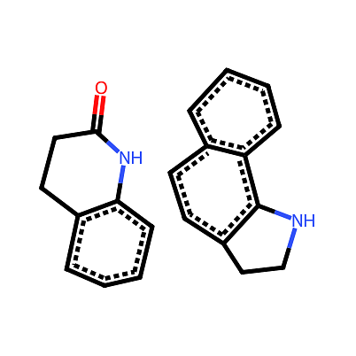 O=C1CCc2ccccc2N1.c1ccc2c3c(ccc2c1)CCN3